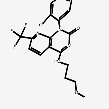 COCCCNc1nc(=O)n(-c2ccccc2Cl)c2nc(C(F)(F)F)ccc12